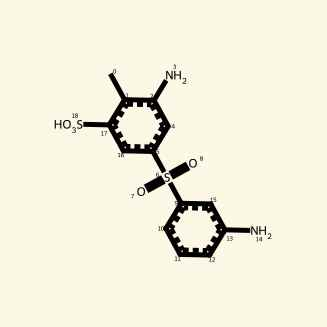 Cc1c(N)cc(S(=O)(=O)c2cccc(N)c2)cc1S(=O)(=O)O